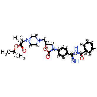 CC(C)OC(=O)C(C)N1CCN(CC2CN(c3ccc(C(=N)NC(=O)c4ccccc4)cc3)C(=O)O2)CC1